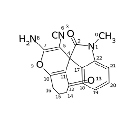 CN1C(=O)C2(C(C#N)=C(N)OC3=C2C(=O)CCC3)c2ccccc21